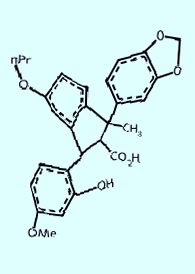 CCCOc1ccc2c(c1)C(c1ccc(OC)cc1O)C(C(=O)O)C2(C)c1ccc2c(c1)OCO2